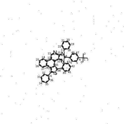 CC(C)(C)c1ccc(-c2nc3c4c(cnc3n2-c2ccccc2)c2ccccc2c2c(-c3ccccc3)sc(-c3ccccc3)c24)cc1